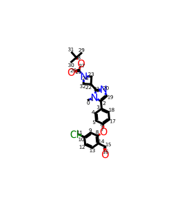 Cn1c(-c2ccc(Oc3cc(Cl)ccc3C=O)cc2)cnc1C1CN(C(=O)OC(C)(C)C)C1